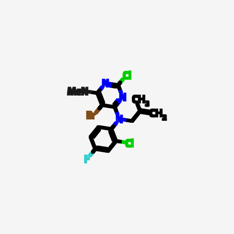 C=C(C)CN(c1ccc(F)cc1Cl)c1nc(Cl)nc(NC)c1Br